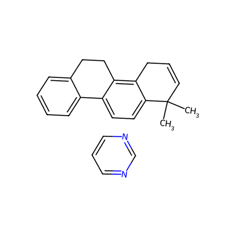 CC1(C)C=CCc2c1ccc1c2CCc2ccccc2-1.c1cncnc1